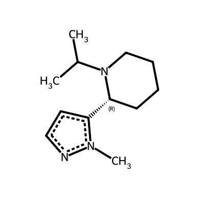 CC(C)N1CCCC[C@@H]1c1ccnn1C